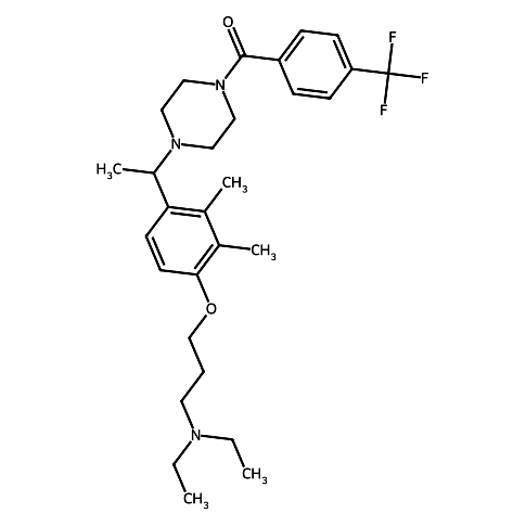 CCN(CC)CCCOc1ccc(C(C)N2CCN(C(=O)c3ccc(C(F)(F)F)cc3)CC2)c(C)c1C